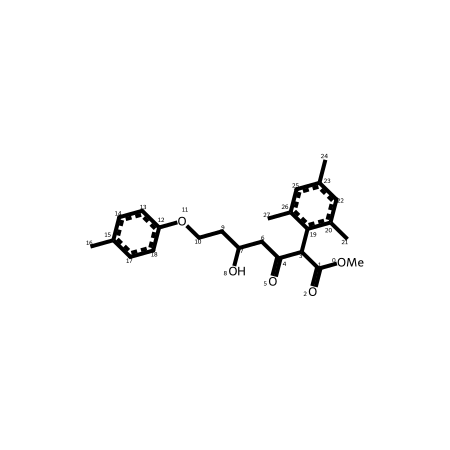 COC(=O)C(C(=O)CC(O)CCOc1ccc(C)cc1)c1c(C)cc(C)cc1C